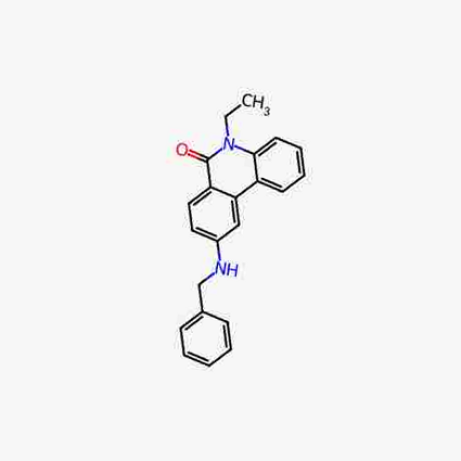 CCn1c(=O)c2ccc(NCc3ccccc3)cc2c2ccccc21